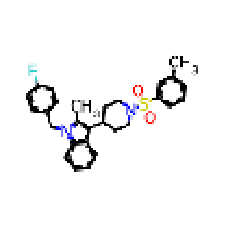 Cc1cccc(S(=O)(=O)N2CCC(c3c(C)n(Cc4ccc(F)cc4)c4ccccc34)CC2)c1